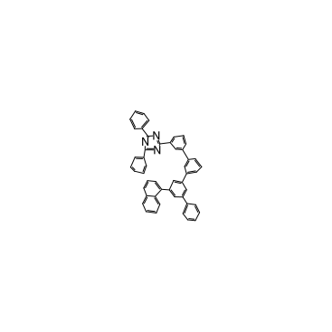 c1ccc(-c2cc(-c3cccc(-c4cccc(-c5nc(-c6ccccc6)nc(-c6ccccc6)n5)c4)c3)cc(-c3cccc4ccccc34)c2)cc1